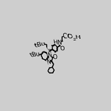 CC(C)(C)CC[C@H](c1ccc(C(=O)NCCC(=O)O)cc1)N1C(=O)C(CC2CCCCC2)=NC12CCC(C(C)(C)C)CC2